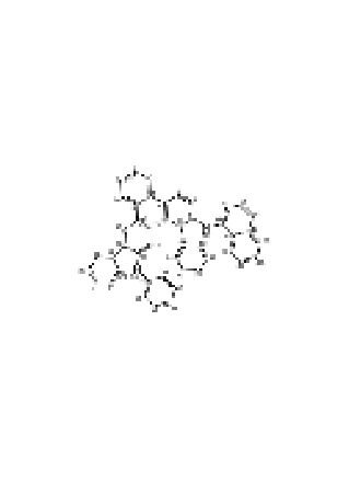 C1=CC2C(C=C1c1ccccc1-c1ccc3c(c1)c1ccccc1n3-c1ccccc1)c1ccccc1N2c1cccc2ccccc12